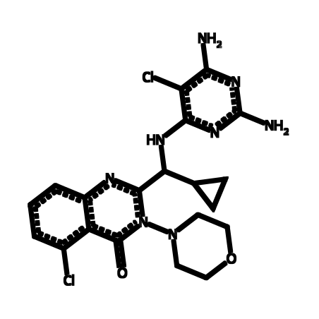 Nc1nc(N)c(Cl)c(NC(c2nc3cccc(Cl)c3c(=O)n2N2CCOCC2)C2CC2)n1